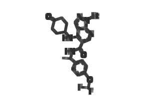 CCn1ncc2c(NC3CCC(=O)CC3)c(C(=O)NC(C)c3ccc(OC(F)F)cc3)cnc21